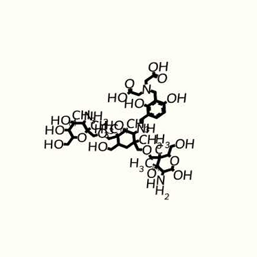 CC1(COCC2(C)C(CO)OC(O)C(N)[C@]2(C)O)CC(CO)C(C)(COCC2(C)OC(CO)C(O)[C@@](C)(O)C2N)[C@@](C)(O)C1NCc1ccc(O)c(CN(CC(=O)O)CC(=O)O)c1O